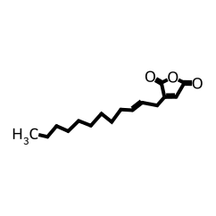 CCCCCCCCC/C=C/CC1=CC(=O)OC1=O